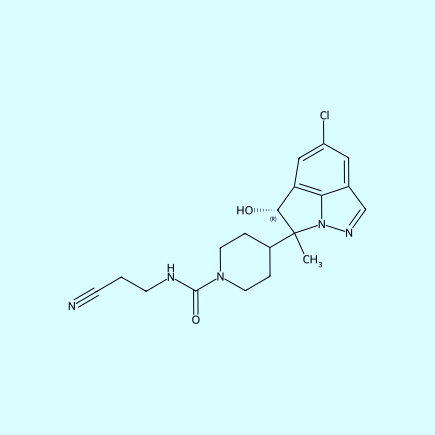 CC1(C2CCN(C(=O)NCCC#N)CC2)[C@H](O)c2cc(Cl)cc3cnn1c23